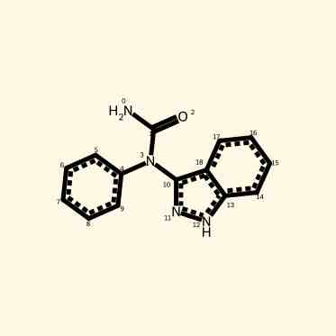 NC(=O)N(c1ccccc1)c1n[nH]c2ccccc12